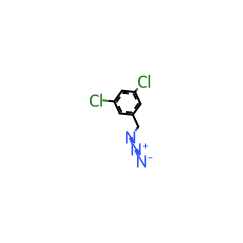 [N-]=[N+]=NCc1cc(Cl)cc(Cl)c1